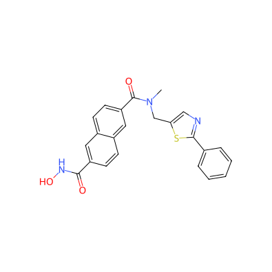 CN(Cc1cnc(-c2ccccc2)s1)C(=O)c1ccc2cc(C(=O)NO)ccc2c1